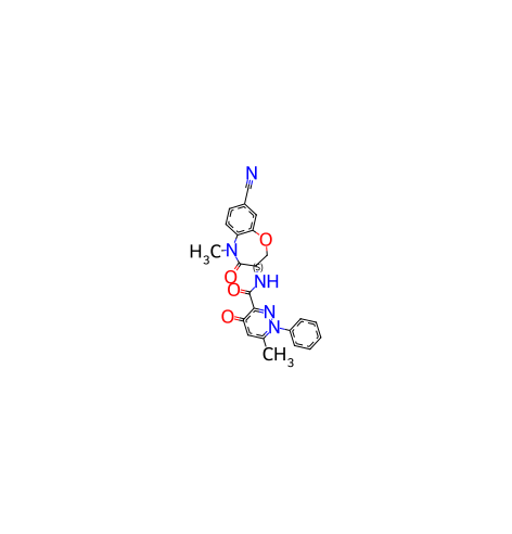 Cc1cc(=O)c(C(=O)N[C@H]2COc3cc(C#N)ccc3N(C)C2=O)nn1-c1ccccc1